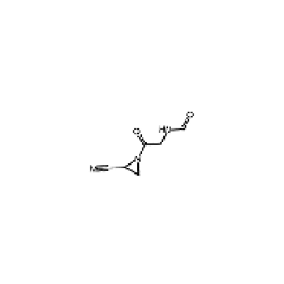 N#CC1CN1C(=O)CNC=O